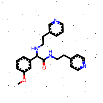 COc1cccc(C(NCCc2cccnc2)C(=O)NCCc2ccncc2)c1